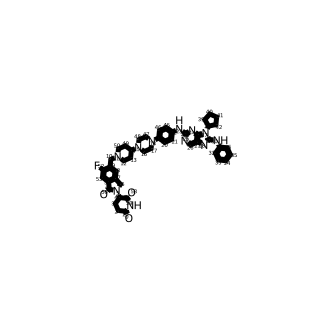 O=C1CCC(N2Cc3cc(CN4CCC(N5CCN(c6ccc(Nc7ncc8nc(Nc9ccccc9)n(C9CCCC9)c8n7)cc6)CC5)CC4)c(F)cc3C2=O)C(=O)N1